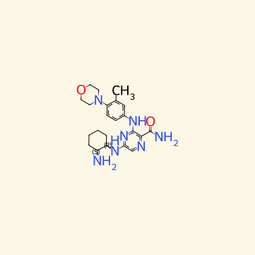 Cc1cc(Nc2nc(N[C@@H]3CCCC[C@@H]3N)cnc2C(N)=O)ccc1N1CCOCC1